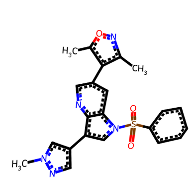 Cc1noc(C)c1-c1cnc2c(-c3cnn(C)c3)cn(S(=O)(=O)c3ccccc3)c2c1